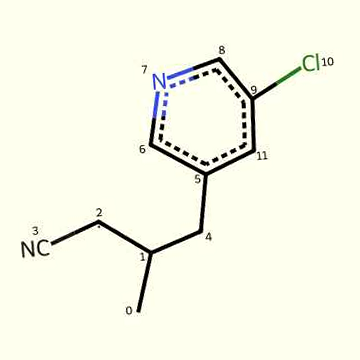 CC([CH]C#N)Cc1cncc(Cl)c1